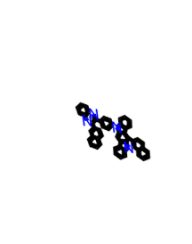 C1=Cc2c(n(-c3ccc(-c4nc5ccccc5nc4-c4ccc5ccccc5c4)cc3)c3cc4c5ccccc5n5c6c7ccccc7ccc6c(c23)c45)CC1